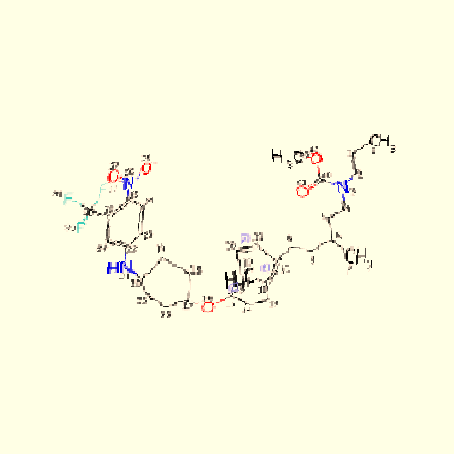 CCCN(CCC(C)CCC1=C(/C)CC/C(O[C@H]2CC[C@H](Nc3ccc([N+](=O)[O-])c(C(F)(F)F)c3)CC2)=C/C=C\1)C(=O)OC